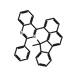 CC1(C)c2ccccc2-c2ccc3cccc(-c4nc(-c5ccccc5)nc5ccccc45)c3c21